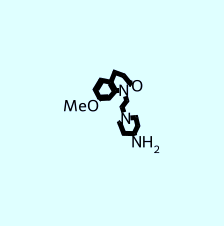 COc1ccc2c(c1)N(CCN1CCC(N)CC1)C(=O)CC2